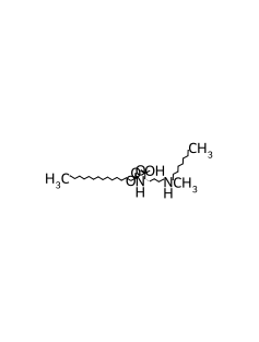 CCCCCCCCCCCCCCOC(=O)N[C@@H](CCCCNC(C)CCCCCCCC)C(=O)O